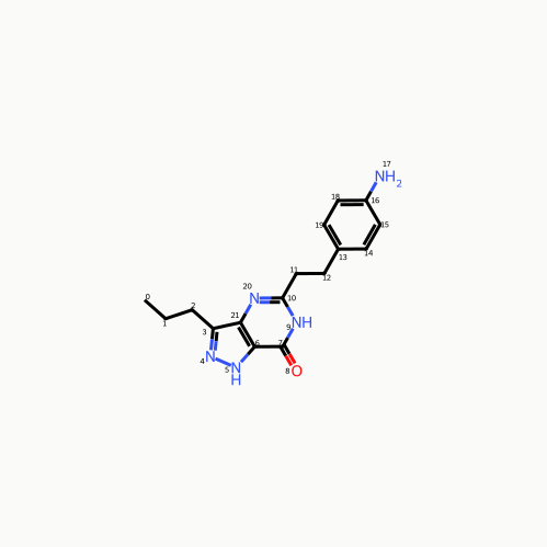 CCCc1n[nH]c2c(=O)[nH]c(CCc3ccc(N)cc3)nc12